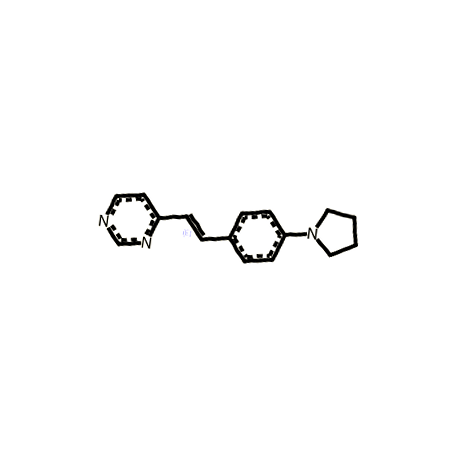 C(=C\c1ccncn1)/c1ccc(N2CCCC2)cc1